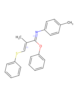 CC(=C\Sc1ccccc1)/C(=N/c1ccc(C)cc1)Oc1ccccc1